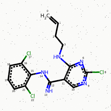 C=CCCNc1nc(Cl)ncc1C(=N)Nc1c(Cl)cccc1Cl